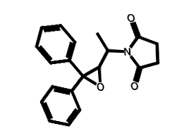 CC(C1OC1(c1ccccc1)c1ccccc1)N1C(=O)CCC1=O